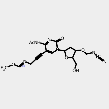 CC(=O)Nc1nc(=O)n(C2CC(OCN=[N+]=[N-])C(CO)O2)cc1C#CC/N=C/OC(F)(F)F